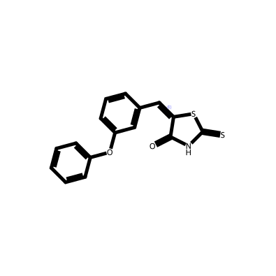 O=C1NC(=S)S/C1=C/c1cccc(Oc2ccccc2)c1